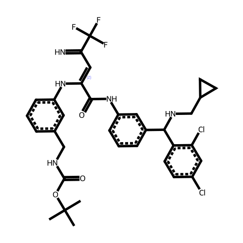 CC(C)(C)OC(=O)NCc1cccc(N/C(=C\C(=N)C(F)(F)F)C(=O)Nc2cccc(C(NCC3CC3)c3ccc(Cl)cc3Cl)c2)c1